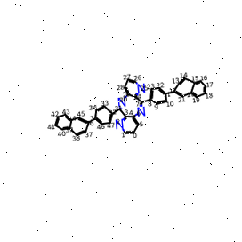 c1cnc2c(c1)/N=C(/c1ccc(-c3ccc4ccccc4c3)cc1)c1ncccc1/N=C\2c1ccc(-c2ccc3ccccc3c2)cc1